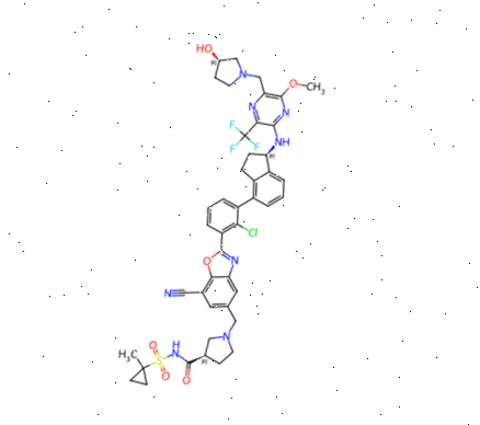 COc1nc(N[C@@H]2CCc3c(-c4cccc(-c5nc6cc(CN7CC[C@@H](C(=O)NS(=O)(=O)C8(C)CC8)C7)cc(C#N)c6o5)c4Cl)cccc32)c(C(F)(F)F)nc1CN1CC[C@@H](O)C1